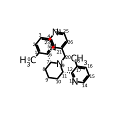 Cc1cccnc1[C@H]1CCC[C@@H](c2ncccc2C)N1Cc1ccncc1